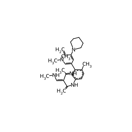 C=C/C(=C\C(=C/N(C)C)c1cc(NC(=C)/C(=C/NC)C(C)=N)ccc1C)N1CCCCC1